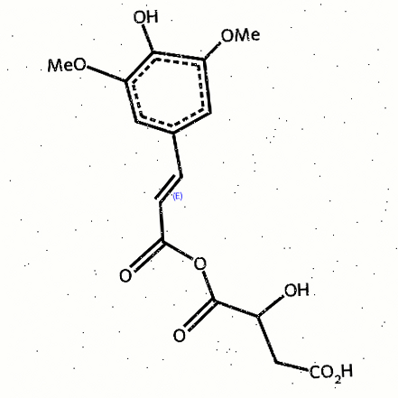 COc1cc(/C=C/C(=O)OC(=O)C(O)CC(=O)O)cc(OC)c1O